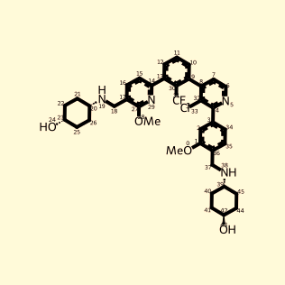 COc1cc(-c2nccc(-c3cccc(-c4ccc(CN[C@H]5CC[C@@H](O)CC5)c(OC)n4)c3C(F)(F)F)c2Cl)ccc1CN[C@H]1CC[C@H](O)CC1